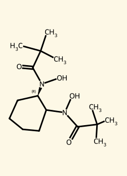 CC(C)(C)C(=O)N(O)C1CCCC[C@H]1N(O)C(=O)C(C)(C)C